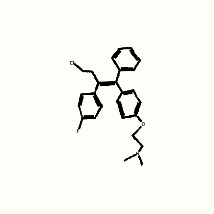 CN(C)CCOc1ccc(C(=C(CCCl)c2ccc(F)cc2)c2ccccc2)cc1